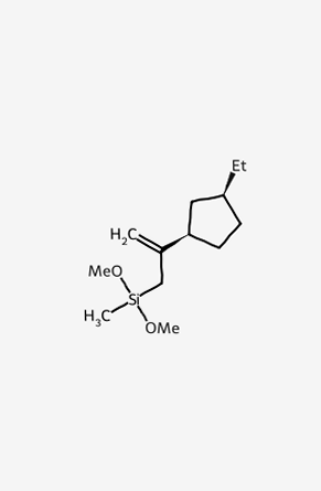 C=C(C[Si](C)(OC)OC)[C@@H]1CC[C@H](CC)C1